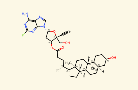 C#C[C@]1(CO)O[C@@H](n2cnc3c(N)nc(F)nc32)C[C@@H]1OC(=O)CC[C@@H](CC)[C@H]1CC[C@H]2[C@@H]3CC[C@@H]4C[C@H](O)CC[C@]4(C)[C@H]3CC[C@]12C